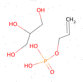 C=CCOP(=O)(O)O.OCC(O)CO